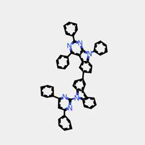 c1ccc(-c2cc(-c3ccccc3)nc(-n3c4ccccc4c4cc(-c5ccc6c(c5)c5c(-c7ccccc7)nc(-c7ccccc7)nc5n6-c5ccccc5)ccc43)n2)cc1